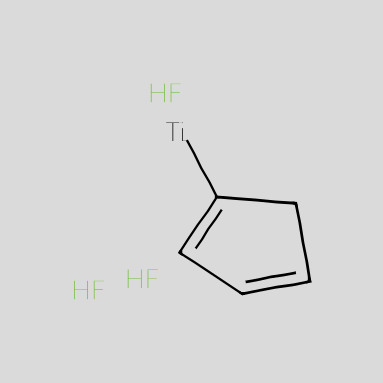 F.F.F.[Ti][C]1=CC=CC1